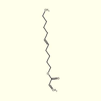 C=CC(=O)OCCCCC=CCCCCC